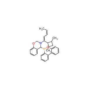 C/C=C\C=C(/C1C(C)CC1C)N1COc2ccccc2C1P1Oc2ccccc2-c2ccccc21